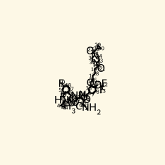 C[C@H](N)c1oc(-c2ccc(OC(F)F)c(OCCCCC(=O)N3CCN(C(=O)C4CC4)CC3)c2)nc1C(=O)NC(C(=O)NC1CC1)c1ccc(F)cc1F